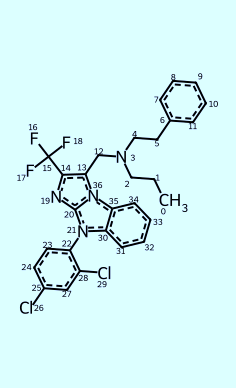 CCCN(CCc1ccccc1)Cc1c(C(F)(F)F)nc2n(-c3ccc(Cl)cc3Cl)c3ccccc3n12